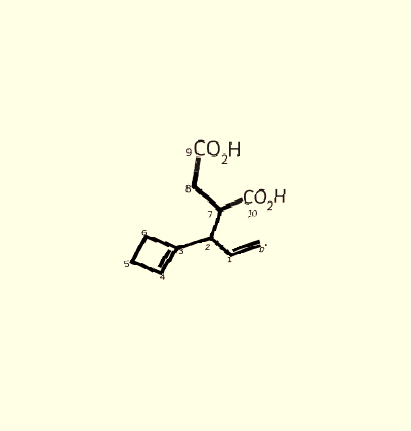 [CH]=CC(C1=CCC1)C(CC(=O)O)C(=O)O